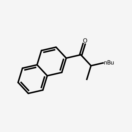 CCCCC(C)C(=O)c1ccc2ccccc2c1